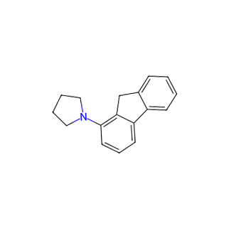 c1ccc2c(c1)Cc1c-2cccc1N1CCCC1